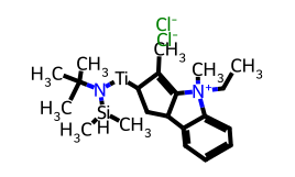 CC[N+]1(C)C2=C(C)[CH]([Ti][N]([SiH](C)C)C(C)(C)C)CC2c2ccccc21.[Cl-].[Cl-]